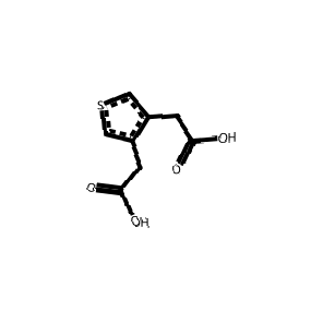 O=C(O)Cc1cscc1CC(=O)O